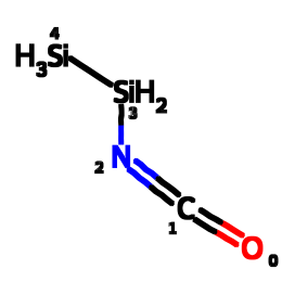 O=C=N[SiH2][SiH3]